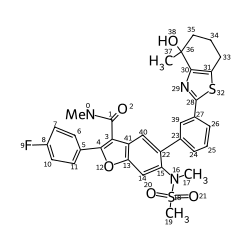 CNC(=O)c1c(-c2ccc(F)cc2)oc2cc(N(C)S(C)(=O)=O)c(-c3cccc(-c4nc5c(s4)CCCC5(C)O)c3)cc12